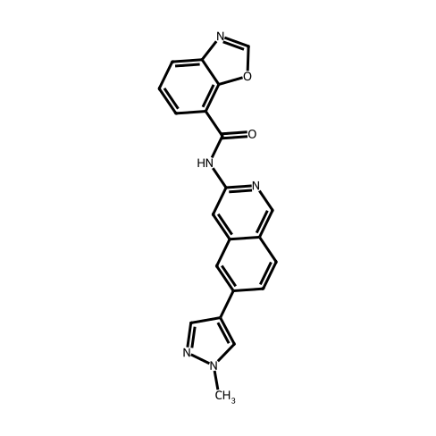 Cn1cc(-c2ccc3cnc(NC(=O)c4cccc5ncoc45)cc3c2)cn1